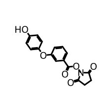 O=C(ON1C(=O)CCC1=O)c1cccc(Oc2ccc(O)cc2)c1